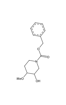 COC1CCN(C(=O)OCc2ccccc2)CC1O